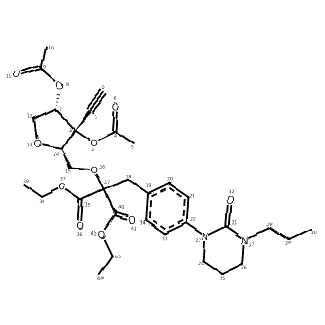 C#C[C@]1(OC(C)=O)[C@@H](OC(C)=O)CO[C@@H]1COC(Cc1ccc(N2CCCN(CCC)C2=O)cc1)(C(=O)OCC)C(=O)OCC